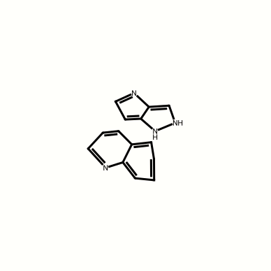 c1cc2[nH][nH]cc-2n1.c1ccc2ncccc2c1